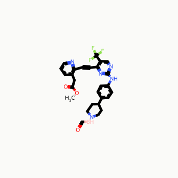 COC(=O)Cc1cccnc1C#Cc1nc(Nc2ccc(C3CCN(BC=O)CC3)cc2)ncc1C(F)(F)F